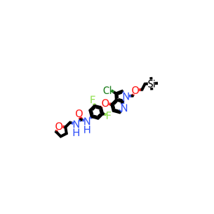 C[Si](C)(C)CCOCn1cc(Cl)c2c(Oc3c(F)cc(NC(=O)NCC4CCCO4)cc3F)ccnc21